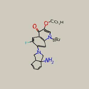 CC(C)(C)n1cc(OC(=O)O)c(=O)c2cc(F)c(N3CC4C=CC=CC4(N)C3)cc21